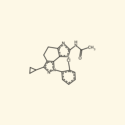 CC(=O)Nc1nc2c(s1)-c1c(c(C3CC3)nn1-c1ccccc1Cl)CC2